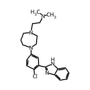 CN(C)CCN1CCCN(c2ccc(Cl)c(-c3nc4ccccc4[nH]3)c2)CC1